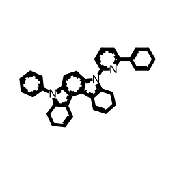 C1=CC(c2cccc(-n3c4c(c5c6c7c(n(-c8ccccc8)c6ccc53)CCC=C7)C=CCC4)n2)=CCC1